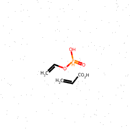 C=CC(=O)O.C=CO[PH](=O)O